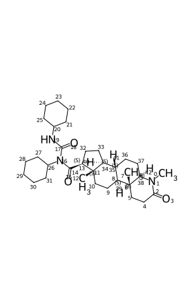 CN1C(=O)CC[C@]2(C)[C@H]3CC[C@]4(C)[C@@H](C(=O)N(C(=O)NC5CCCCC5)C5CCCCC5)CC[C@H]4[C@@H]3CC[C@@H]12